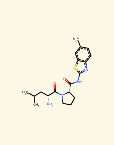 Cc1ccc2nc(NC(=O)[C@@H]3CCCN3C(=O)[C@H](N)CC(C)C)sc2c1